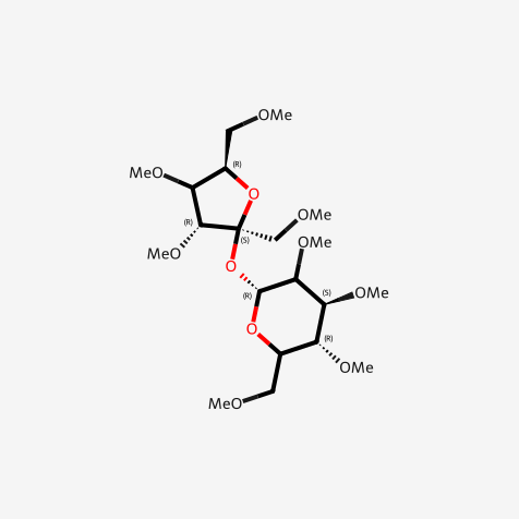 COCC1O[C@H](O[C@]2(COC)O[C@H](COC)C(OC)[C@H]2OC)C(OC)[C@@H](OC)[C@@H]1OC